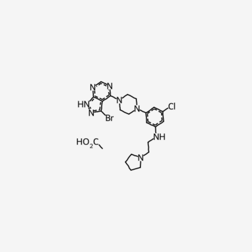 CC(=O)O.Clc1cc(NCCN2CCCC2)cc(N2CCN(c3ncnc4[nH]nc(Br)c34)CC2)c1